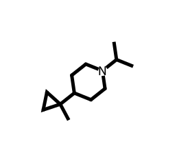 CC(C)N1CCC(C2(C)CC2)CC1